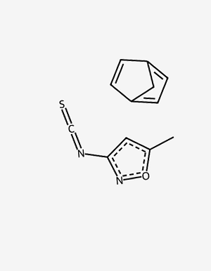 C1=CC2=CC=C1C2.Cc1cc(N=C=S)no1